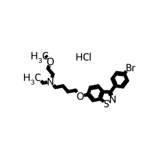 CCN(CCCCOc1ccc2c(-c3ccc(Br)cc3)nsc2c1)CCOC.Cl